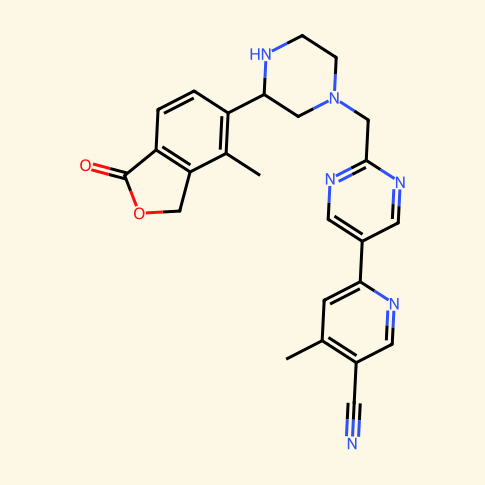 Cc1cc(-c2cnc(CN3CCNC(c4ccc5c(c4C)COC5=O)C3)nc2)ncc1C#N